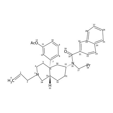 C=CCN1CC[C@@]2(c3cccc(OC(C)=O)c3)C[C@H](N(CC(C)C)C(=O)c3ccc4ccccc4c3)CC[C@@H]2C1